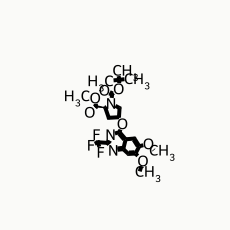 COC(=O)[C@@H]1CC(Oc2nc(C(F)(F)F)nc3cc(OC)c(OC)cc23)CN1C(=O)OC(C)(C)C